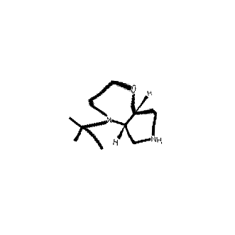 CC(C)(C)N1CCO[C@@H]2CNC[C@@H]21